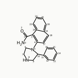 NC(=O)c1c(N2CCNCC2c2ccccc2)ccc2ccccc12